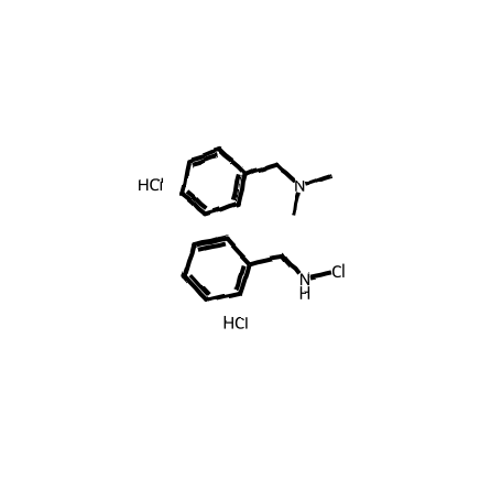 CN(C)Cc1ccccc1.Cl.Cl.ClNCc1ccccc1